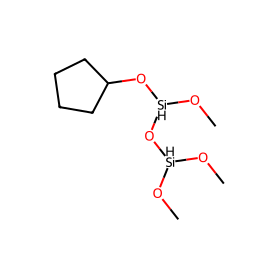 CO[SiH](OC)O[SiH](OC)OC1CCCC1